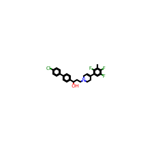 Cc1c(F)c(F)cc(C2=CCN(CCC(O)c3ccc(-c4ccc(Cl)cc4)cc3)CC2)c1F